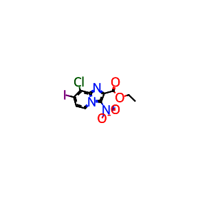 CCOC(=O)c1nc2c(Cl)c(I)ccn2c1[N+](=O)[O-]